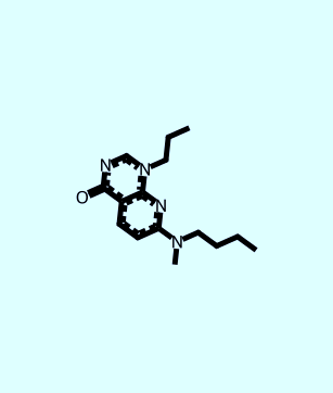 CCCCN(C)c1ccc2c(=O)ncn(CCC)c2n1